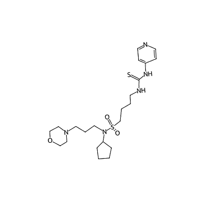 O=S(=O)(CCCCNC(=S)Nc1ccncc1)N(CCCN1CCOCC1)C1CCCC1